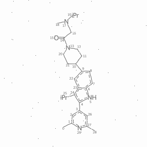 Cc1cc(-c2[nH]c3ccc(C4CCN(C(=O)CN(C)C(C)C)CC4)cc3c2C(C)C)cc(C)n1